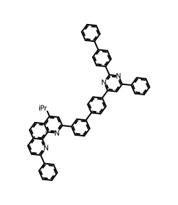 CC(C)c1cc(-c2cccc(-c3ccc(-c4cc(-c5ccccc5)nc(-c5ccc(-c6ccccc6)cc5)n4)cc3)c2)nc2c1ccc1ccc(-c3ccccc3)nc12